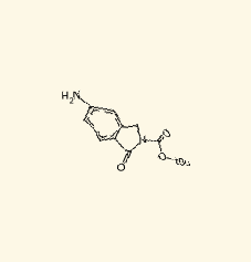 CC(C)(C)OC(=O)N1Cc2cc(N)ccc2C1=O